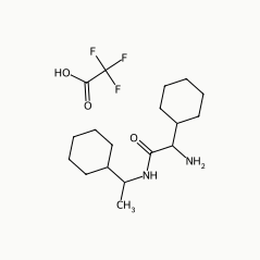 CC(NC(=O)C(N)C1CCCCC1)C1CCCCC1.O=C(O)C(F)(F)F